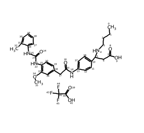 CCCCNC(CC(=O)O)c1ccc(NC(=O)Cc2ccc(NC(=O)Nc3ccccc3C)c(OC)c2)cc1.O=C(O)C(F)(F)F